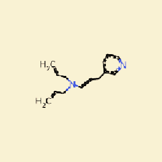 C=CCN(C=CCc1cccnc1)CC=C